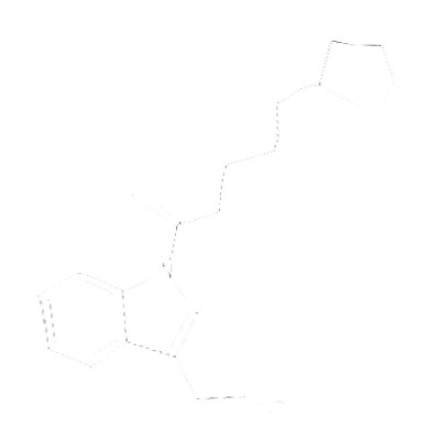 O=C(O)Cc1cn(C(=O)CCCCC2CCSS2)c2ccccc12